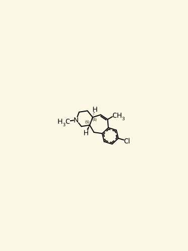 CC1=C[C@@H]2CCN(C)C[C@H]2Cc2ccc(Cl)cc21